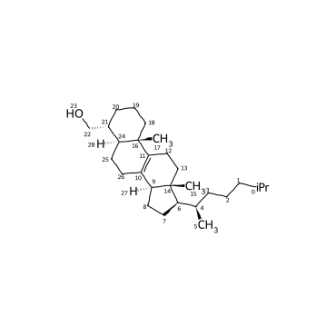 CC(C)CCC[C@@H](C)[C@H]1CC[C@H]2C3=C(CC[C@]12C)[C@@]1(C)CCC[C@@H](CO)[C@@H]1CC3